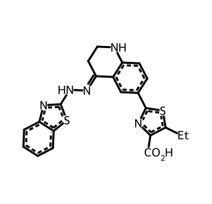 CCc1sc(-c2ccc3c(c2)/C(=N/Nc2nc4ccccc4s2)CCN3)nc1C(=O)O